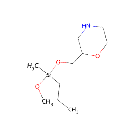 CCC[Si](C)(OC)OCC1CNCCO1